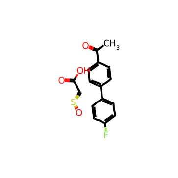 CC(=O)c1ccc(-c2ccc(F)cc2)cc1.O=S=CC(=O)O